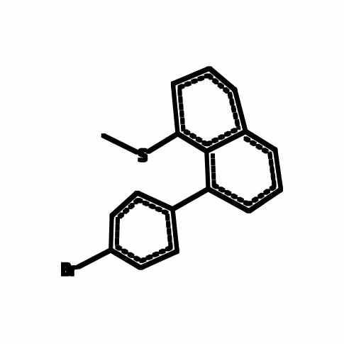 CSc1cccc2cccc(-c3ccc(Br)cc3)c12